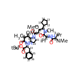 CN[C@H](C(=O)N[C@H](C(=O)N(C)[C@@H](C1CCCC1)[C@@H](CC(=O)N1CCC[C@H]1[C@H](OC)[C@@H](C)C(=O)N[C@@H](Cc1ccccc1)C(=O)OC(C)(C)C)OC)C(C)C)C(C)C